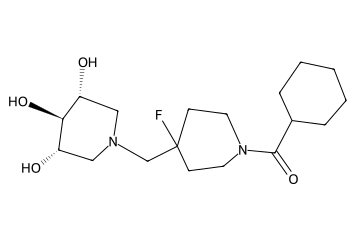 O=C(C1CCCCC1)N1CCC(F)(CN2C[C@@H](O)[C@H](O)[C@@H](O)C2)CC1